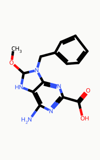 COC1Nc2c(N)nc(C(=O)O)nc2N1Cc1ccccc1